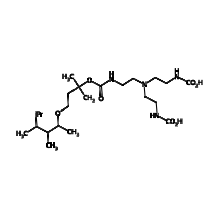 CC(C)C(C)C(C)C(C)OCCC(C)(C)OC(=O)NCCN(CCNC(=O)O)CCNC(=O)O